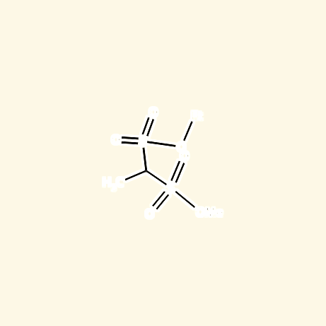 CCOS(=O)(=O)C(C)S(=O)(=O)OC